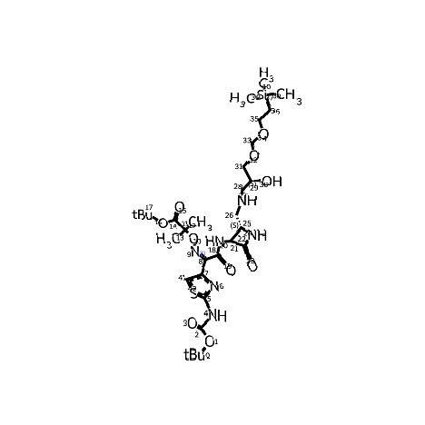 CC(C)(C)OC(=O)Nc1nc(/C(=N/OC(C)(C)C(=O)OC(C)(C)C)C(=O)NC2C(=O)N[C@H]2CNC[C@H](O)COCOCC[Si](C)(C)C)cs1